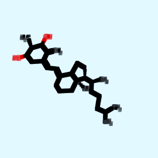 C=C1/C(=C\C=C2CCC[C@@]3(C)C2CC[C@@H]3[C@@H](C)CCCC(C)C)C[C@@H](O)[C@@H](C)[C@H]1O